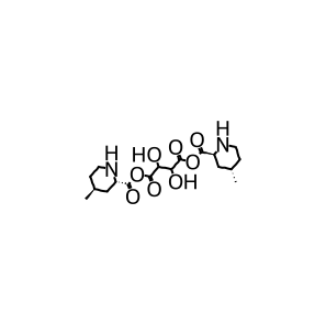 C[C@H]1CCN[C@H](C(=O)OC(=O)C(O)C(O)C(=O)OC(=O)[C@@H]2C[C@@H](C)CCN2)C1